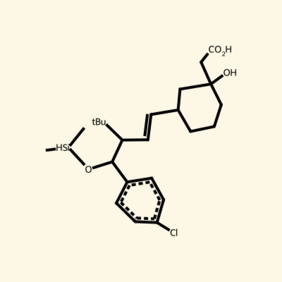 C[SiH](C)OC(c1ccc(Cl)cc1)C(C=CC1CCCC(O)(CC(=O)O)C1)C(C)(C)C